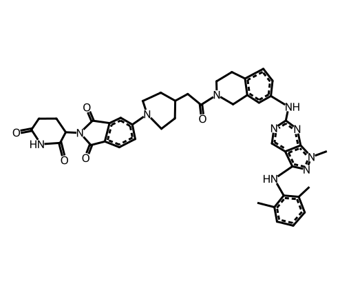 Cc1cccc(C)c1Nc1nn(C)c2nc(Nc3ccc4c(c3)CN(C(=O)CC3CCN(c5ccc6c(c5)C(=O)N(C5CCC(=O)NC5=O)C6=O)CC3)CC4)ncc12